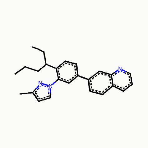 CCCC(CC)c1ccc(-c2ccc3cccnc3c2)cc1-n1ccc(C)n1